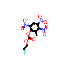 Cc1c(OC(=O)OCCF)c([N+](=O)[O-])cc([N+](=O)[O-])c1[N+](=O)[O-]